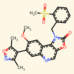 COc1cc2c(cc1-c1c(C)noc1C)ncc1oc(=O)n(Cc3ccccc3S(C)(=O)=O)c12